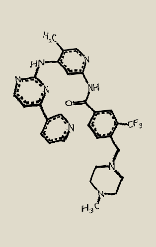 Cc1cnc(NC(=O)c2ccc(CN3CCN(C)CC3)c(C(F)(F)F)c2)cc1Nc1nccc(-c2cccnc2)n1